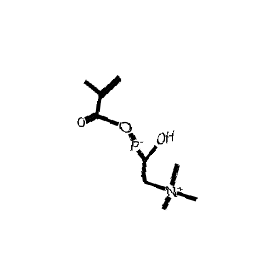 C=C(C)C(=O)O[P-]C(O)C[N+](C)(C)C